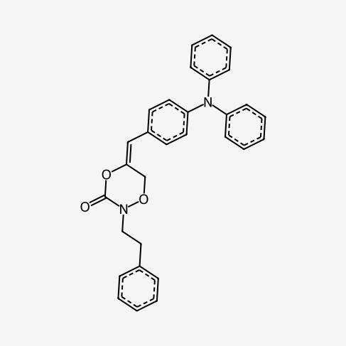 O=C1O/C(=C/c2ccc(N(c3ccccc3)c3ccccc3)cc2)CON1CCc1ccccc1